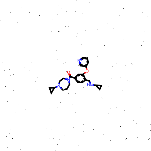 O=C(c1ccc(CNC2CC2)c(Oc2cccnc2)c1)N1CCCN(C2CC2)CC1